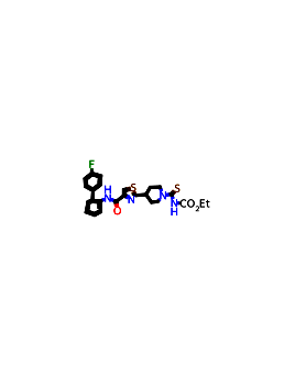 CCOC(=O)NC(=S)N1CCC(c2nc(C(=O)Nc3ccccc3-c3ccc(F)cc3)cs2)CC1